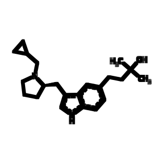 CC(C)(O)CCc1ccc2[nH]cc(C[C@H]3CCCN3CC3CC3)c2c1